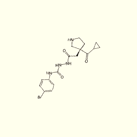 O=C(C[C@]1(C(=O)C2CC2)CCNC1)NNC(=O)Nc1ccc(Br)cc1